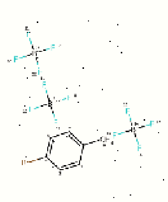 Cc1ccc(Br)cc1.F[B-](F)(F)F.F[B-](F)(F)F.F[B-](F)(F)F